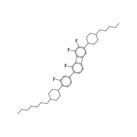 CCCCCCCC1CCC(c2ccc(-c3ccc4c(c3F)-c3c-4cc(C4CCC(CCCCC)CC4)c(F)c3F)cc2F)CC1